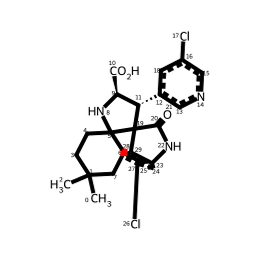 CC1(C)CCC2(CC1)N[C@@H](C(=O)O)[C@H](c1cncc(Cl)c1)C21C(=O)Nc2cc(Cl)ccc21